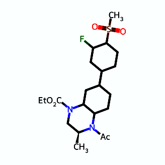 CCOC(=O)N1C[C@H](C)N(C(C)=O)C2CCC(C3CCC(S(C)(=O)=O)C(F)C3)CC21